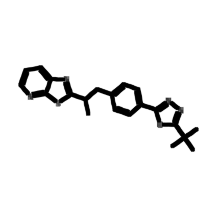 CC(Cc1ccc(-c2nnc(C(C)(C)C)o2)cc1)c1nc2cccnc2s1